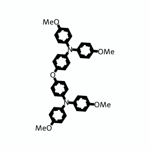 COc1ccc(N(c2ccc(OC)cc2)c2ccc(Oc3ccc(N(c4ccc(OC)cc4)c4ccc(OC)cc4)cc3)cc2)cc1